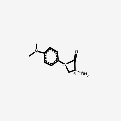 CN(C)c1ccc(N2C[C@@H](N)C2=O)cc1